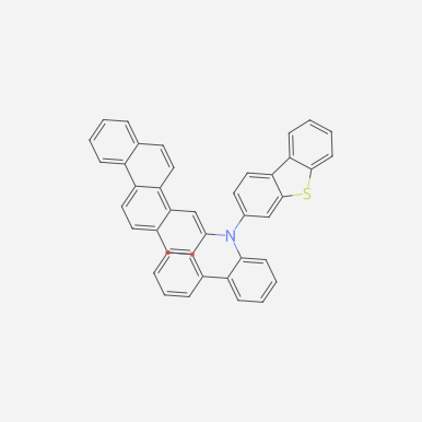 c1ccc(-c2ccccc2N(c2ccc3c(c2)sc2ccccc23)c2ccc3ccc4c5ccccc5ccc4c3c2)cc1